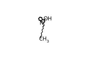 CCCCCCCC=Cc1cc(O)c2ccccc2n1